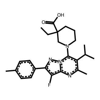 CCC1(C(=O)O)CCCN(c2c(C(C)C)c(C)nc3c(F)c(-c4ccc(C)cc4)nn23)C1